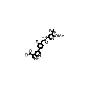 CCC(=O)c1c[nH]c2ncc(-c3ccc(CC(=O)Nc4cnc(OC)c(C(C)(F)F)c4)c(F)c3)cc12